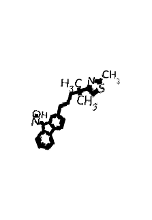 Cc1nc(C(C)(C)CCCc2ccc3c(c2)/C(=N\O)c2ccccc2-3)cs1